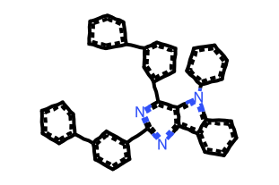 c1ccc(-c2cccc(-c3nc(-c4cccc(-c5ccccc5)c4)c4c(n3)c3ccccc3n4-c3ccccc3)c2)cc1